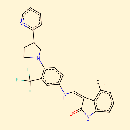 Cc1cccc2c1C(=CNc1ccc(N3CCC(c4ccccn4)C3)c(C(F)(F)F)c1)C(=O)N2